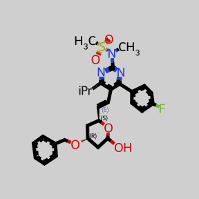 CC(C)c1nc(N(C)S(C)(=O)=O)nc(-c2ccc(F)cc2)c1/C=C/[C@@H]1C[C@@H](OCc2ccccc2)CC(O)O1